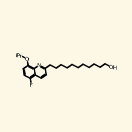 CC(C)Oc1ccc(F)c2ccc(CCCCCCCCCCCO)nc12